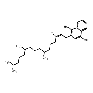 CC(=CCc1cc(O)c2ccccc2c1O)CCCC(C)CCCC(C)CCCC(C)C